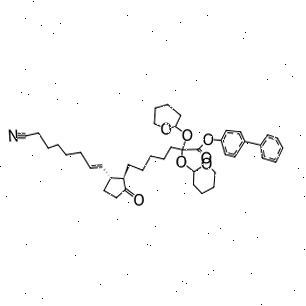 N#CCCCCC/C=C/[C@H]1CCC(=O)[C@@H]1CCCCCC(OC1CCCCO1)(OC1CCCCO1)C(=O)Oc1ccc(-c2ccccc2)cc1